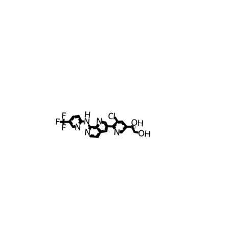 OC[C@H](O)c1cnc(-c2cnc3c(Nc4ccc(C(F)(F)F)cn4)nccc3c2)c(Cl)c1